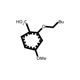 CCC(C)COc1cc(OC)ccc1C(=O)O